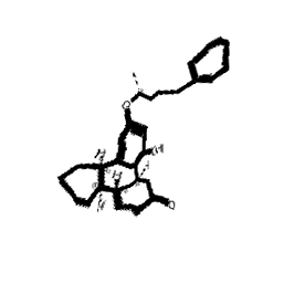 C[C@H](CCCc1ccccc1)Oc1cc(O)c2c(c1)[C@@H]1CCCC[C@@H]1[C@H]1CCC(=O)C[C@H]21